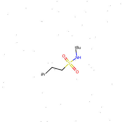 CC(C)CCS(=O)(=O)NC(C)(C)C